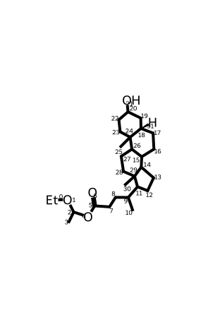 CCOC(C)OC(=O)CCC(C)C1CCC2C3CC[C@H]4CC(O)CCC4(C)C3CCC12C